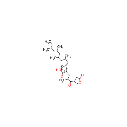 CCC(C)CC(C)CC(C)CC(C)/C=C(C)/C=C(/CC(C)C(=O)[C@@H]1COC(=O)C1)C(=O)O